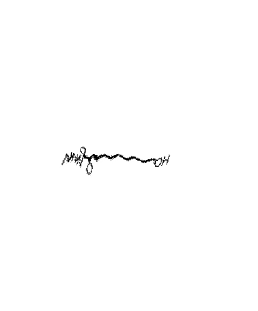 [N-]=[N+]=NC(=O)C(=O)/C=C/CCCCCCCO